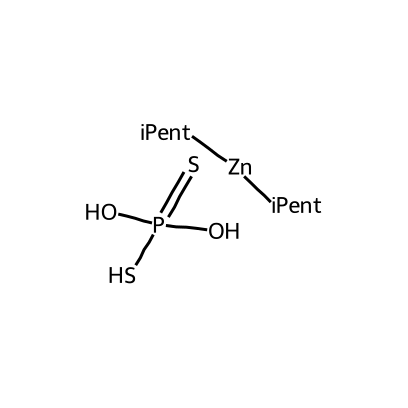 CCC[CH](C)[Zn][CH](C)CCC.OP(O)(=S)S